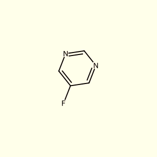 Fc1cncnc1